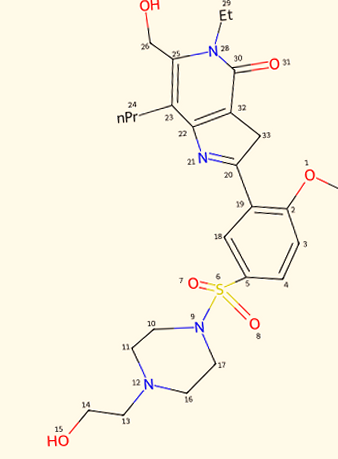 CCCOc1ccc(S(=O)(=O)N2CCN(CCO)CC2)cc1C1=Nc2c(CCC)c(CO)n(CC)c(=O)c2C1